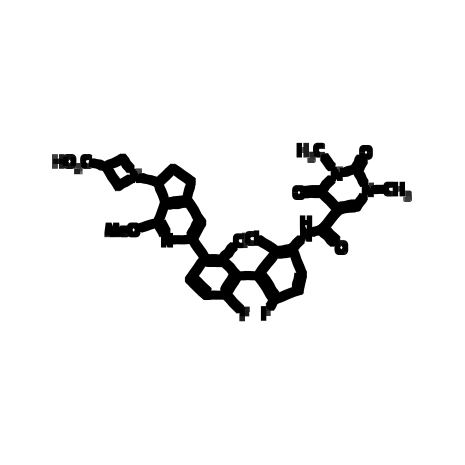 COc1nc(-c2ccc(F)c(-c3c(F)ccc(NC(=O)c4cn(C)c(=O)n(C)c4=O)c3Cl)c2Cl)cc2c1C(N1CC(C(=O)O)C1)CC2